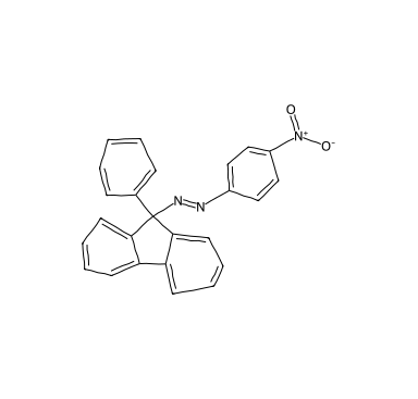 O=[N+]([O-])c1ccc(N=NC2(c3ccccc3)c3ccccc3-c3ccccc32)cc1